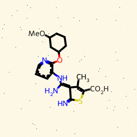 COC1CCCC(Oc2ncccc2N/C(N)=C2/C(=N)SC(C(=O)O)=C2C)C1